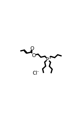 CC=CC(=O)OCCC[P+](CCCC)(CCCC)CCCC.[Cl-]